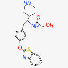 O=C(CO)NC(Cc1ccc(Oc2nc3ccccc3s2)cc1)C1CCNCC1